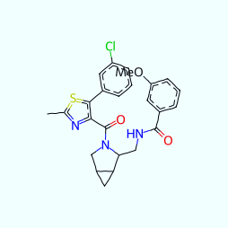 COc1cccc(C(=O)NCC2C3CC3CN2C(=O)c2nc(C)sc2-c2cccc(Cl)c2)c1